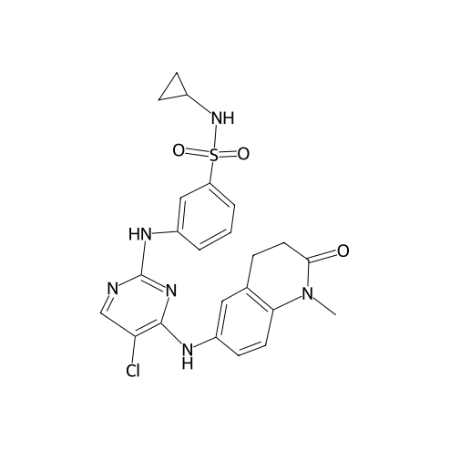 CN1C(=O)CCc2cc(Nc3nc(Nc4cccc(S(=O)(=O)NC5CC5)c4)ncc3Cl)ccc21